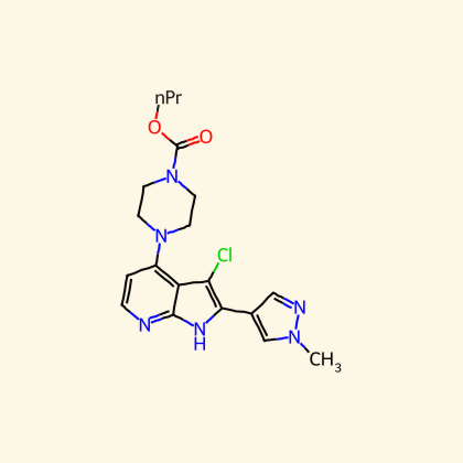 CCCOC(=O)N1CCN(c2ccnc3[nH]c(-c4cnn(C)c4)c(Cl)c23)CC1